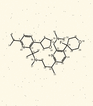 CC(C)c1ccc(C2CCOC2)c(C(C)(C)N(C)CCC(C)c2ccc(C3(F)CCOCC3)c(CN(C)C)n2)n1